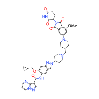 COc1cc(N2CCC(CN3CCC(n4cc5cc(NC(=O)c6cnn7cccnc67)c(OCC6CC6)cc5n4)CC3)CC2)cc2c1C(=O)N(C1CCC(=O)NC1=O)C2=O